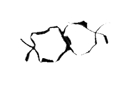 CC(C)C1(C)CNC2=C(C=CC(C)(C)C=C2)OC1